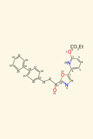 CCOC(=O)Oc1cccc(-c2cnc(C(=O)CCc3ccc(-c4ccccc4)cc3)o2)n1